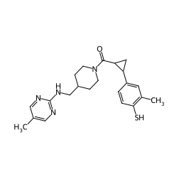 Cc1cnc(NCC2CCN(C(=O)C3CC3c3ccc(S)c(C)c3)CC2)nc1